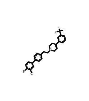 Fc1ccc(-c2ccc(CCN3CC=C(c4cccc(C(F)(F)F)c4)CC3)cc2)cc1Cl